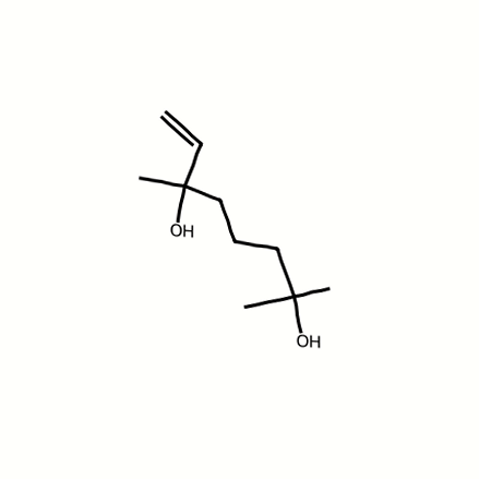 C=CC(C)(O)CCCC(C)(C)O